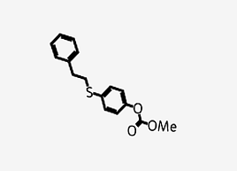 COC(=O)Oc1ccc(SCCc2ccccc2)cc1